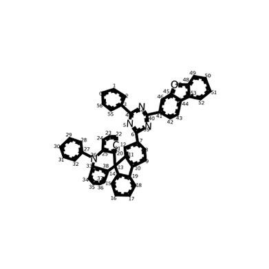 c1ccc(-c2nc(-c3ccc4c(c3)C3(c5ccccc5-4)c4ccccc4N(c4ccccc4)c4ccccc43)nc(-c3ccc4c(c3)oc3ccccc34)n2)cc1